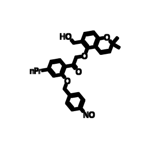 CCCc1ccc(C(=O)COc2c(CO)ccc3c2C=CC(C)(C)O3)c(OCc2ccc(N=O)cc2)c1